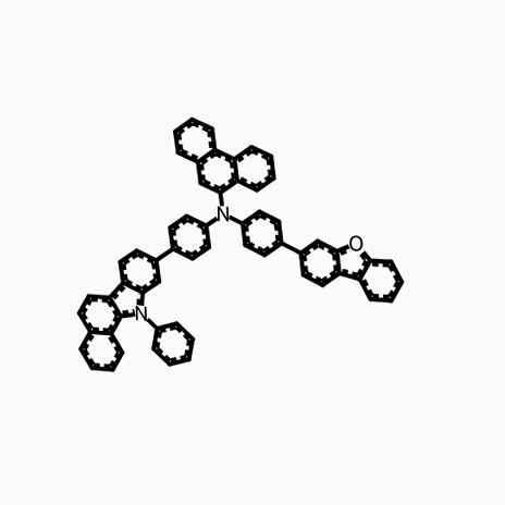 c1ccc(-n2c3cc(-c4ccc(N(c5ccc(-c6ccc7c(c6)oc6ccccc67)cc5)c5cc6ccccc6c6ccccc56)cc4)ccc3c3ccc4ccccc4c32)cc1